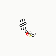 c1ccc2c(-c3c4ccccc4c(-c4ccc(-c5ccc6oc7c(ccc8c7sc7ccc9ccccc9c78)c6c5)c5ccccc45)c4ccccc34)cccc2c1